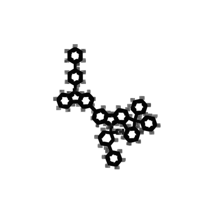 CC1(n2c3ccc(-c4ccc5c(c4)c4ccccc4n5-c4ccc(-c5ccccc5)cc4)cc3c3ccc4c(c32)-c2ccccc2C4(c2ccccc2)c2ccccc2)C=CC=C(c2ccccc2)C1